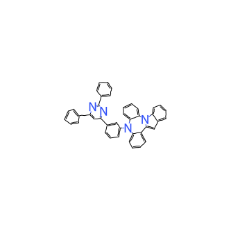 c1ccc(-c2cc(-c3cccc(N4c5ccccc5-c5cc6ccccc6n5-c5ccccc54)c3)nc(-c3ccccc3)n2)cc1